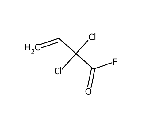 C=CC(Cl)(Cl)C(=O)F